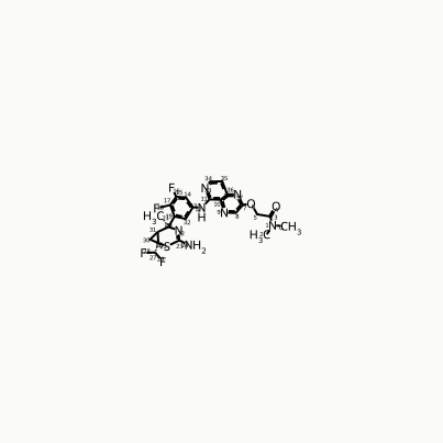 CN(C)C(=O)COc1cnc2c(Nc3cc(F)c(F)c([C@@]4(C)N=C(N)S[C@@]5(C(F)F)CC54)c3)nccc2n1